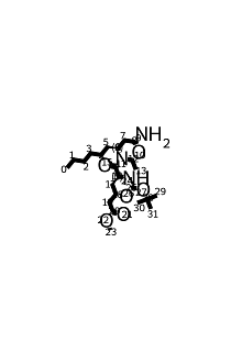 CCCCCC[C@@H](CC(N)=O)N(CC)C(=O)[C@H](CCCC(=O)OC)NC(=O)OC(C)(C)C